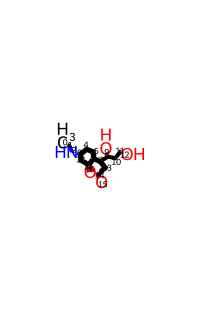 CCNc1ccc2c(C(O)CCO)cc(=O)oc2c1